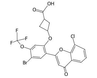 O=C(O)C1CC(Oc2cc(OC(F)(F)F)c(Br)cc2-c2cc(=O)c3cccc(Cl)c3o2)C1